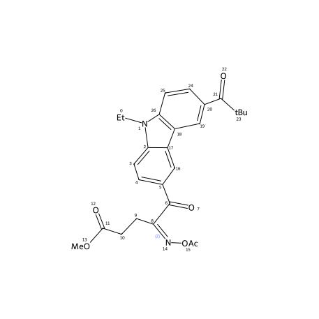 CCn1c2ccc(C(=O)/C(CCC(=O)OC)=N\OC(C)=O)cc2c2cc(C(=O)C(C)(C)C)ccc21